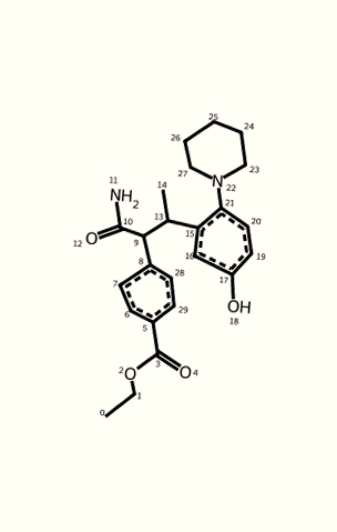 CCOC(=O)c1ccc(C(C(N)=O)C(C)c2cc(O)ccc2N2CCCCC2)cc1